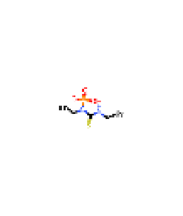 CC(C)CNC(=S)N(CC(C)C)P(=O)(O)O